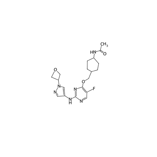 CC(=O)NC1CCC(COc2nc(Nc3cnn(C4COC4)c3)ncc2F)CC1